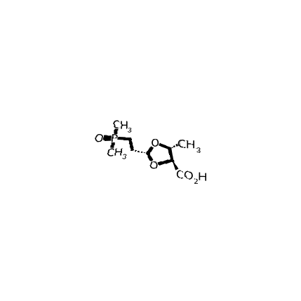 C[C@H]1O[C@@H](CCP(C)(C)=O)O[C@@H]1C(=O)O